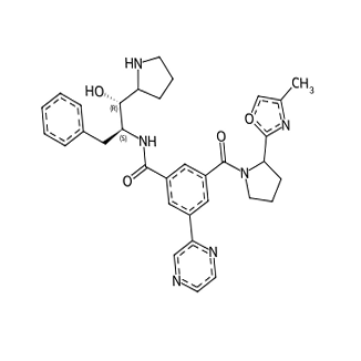 Cc1coc(C2CCCN2C(=O)c2cc(C(=O)N[C@@H](Cc3ccccc3)[C@H](O)C3CCCN3)cc(-c3cnccn3)c2)n1